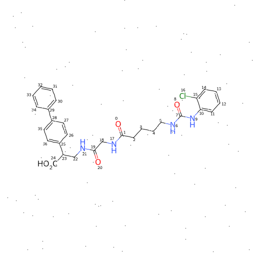 O=C(CCCCNC(=O)Nc1ccccc1Cl)NCC(=O)NCC(C(=O)O)c1ccc(-c2ccccc2)cc1